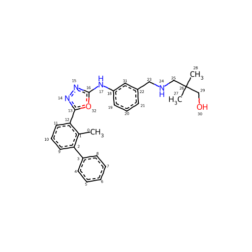 Cc1c(-c2ccccc2)cccc1-c1nnc(Nc2cccc(CNCC(C)(C)CO)c2)o1